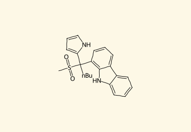 CCCCC(c1ccc[nH]1)(c1cccc2c1[nH]c1ccccc12)S(C)(=O)=O